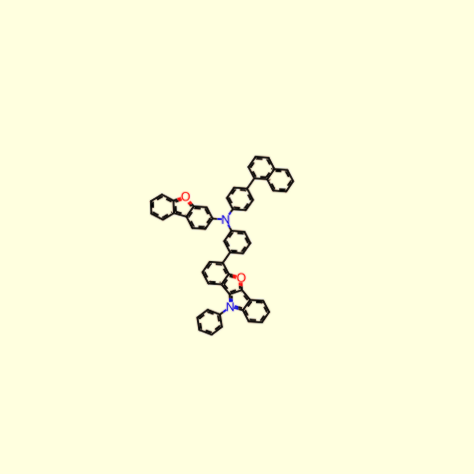 c1ccc(-n2c3ccccc3c3oc4c(-c5cccc(N(c6ccc(-c7cccc8ccccc78)cc6)c6ccc7c(c6)oc6ccccc67)c5)cccc4c32)cc1